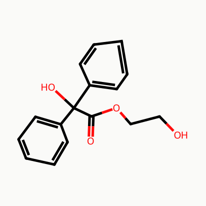 O=C(OCCO)C(O)(c1ccccc1)c1ccccc1